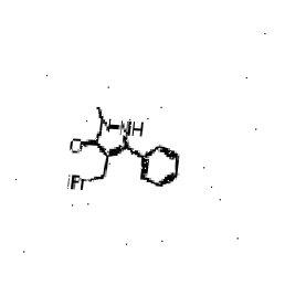 CC(C)Cc1c(-c2ccccc2)[nH]n(C)c1=O